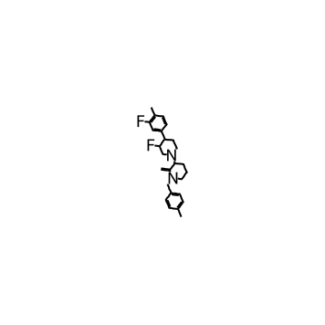 C=C1C(N2CCC(c3ccc(C)c(F)c3)C(F)C2)CCCN1Cc1ccc(C)cc1